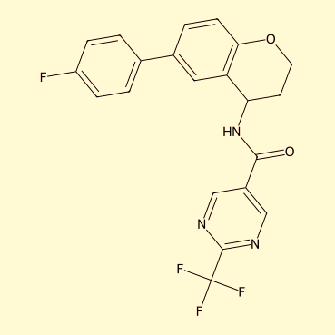 O=C(NC1CCOc2ccc(-c3ccc(F)cc3)cc21)c1cnc(C(F)(F)F)nc1